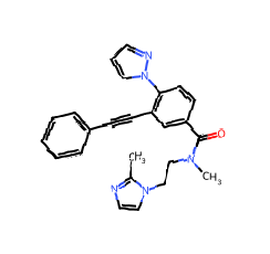 Cc1nccn1CCN(C)C(=O)c1ccc(-n2cccn2)c(C#Cc2ccccc2)c1